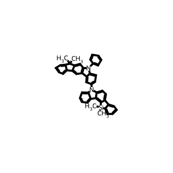 CC1(C)c2ccccc2-c2cc3c4cc(-n5c6ccccc6c6c7c(ccc65)-c5ccccc5[Si]7(C)C)ccc4n(-c4ccccc4)c3cc21